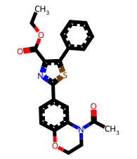 CCOC(=O)c1nc(-c2ccc3c(c2)N(C(C)=O)CCO3)sc1-c1ccccc1